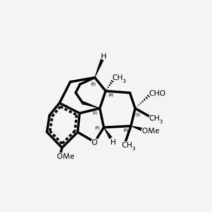 COc1ccc2c3c1O[C@H]1[C@](C)(OC)[C@@](C)(C=O)C[C@]4(C)[C@H](CCC[C@]314)C2